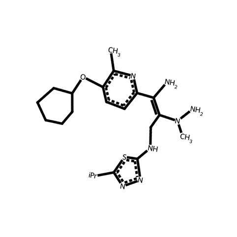 Cc1nc(/C(N)=C(\CNc2nnc(C(C)C)s2)N(C)N)ccc1OC1CCCCC1